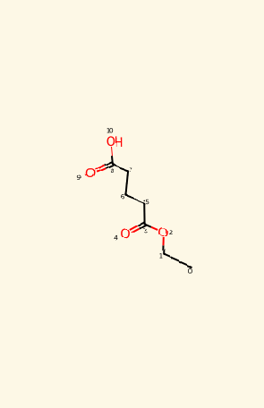 CCOC(=O)[CH]CCC(=O)O